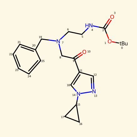 CC(C)(C)OC(=O)NCCN(CC(=O)c1cnn(C2CC2)c1)Cc1ccccc1